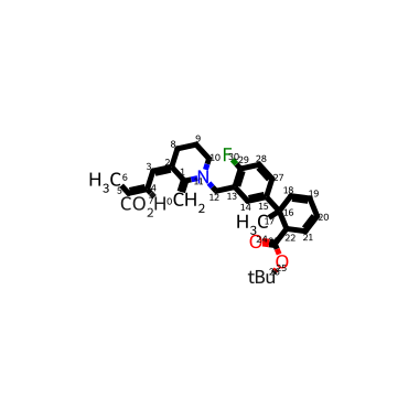 C=C1/C(=C\C(=C/C)C(=O)O)CCCN1Cc1cc(C2(C)C=CC=CC2C(=O)OC(C)(C)C)ccc1F